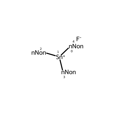 CCCCCCCC[CH2][Sn+]([CH2]CCCCCCCC)[CH2]CCCCCCCC.[F-]